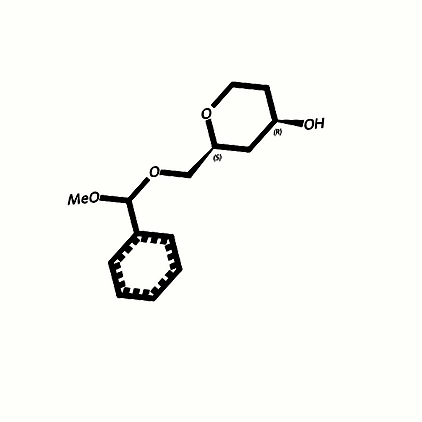 COC(OC[C@@H]1C[C@H](O)CCO1)c1ccccc1